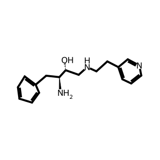 N[C@@H](Cc1ccccc1)[C@H](O)CNCCc1cccnc1